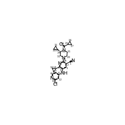 N#Cc1cc(Nc2ccnc(Cl)c2)c(C2CC2)nc1N1CCN(C(=O)C2CC2)[C@H](C2CC2)C1